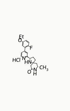 CCOc1ccc(F)c(-c2ccnc([C@H]3CCC4(CC(=O)N[C@@H](C)C4)N3)c2)c1.Cl